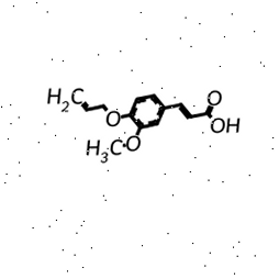 C=CCOc1ccc(C=CC(=O)O)cc1OC